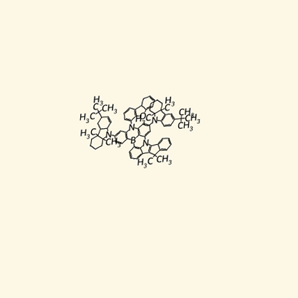 CC(C)(C)c1ccc2c(c1)C1(C)CCCCC1(C)N2c1cc2c3c(c1)-n1c4c(c5cccc(c51)B3c1ccc(N3C5C=CC(C(C)(C)C)CC5C5(C)CCCCC35C)cc1N2c1cccc2c1OC1=CC=CCC12)C(C)(C)c1ccccc1-4